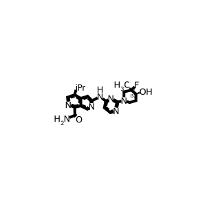 CC(C)c1cnc(C(N)=O)c2cnc(Nc3ccnc(N4CC[C@H](O)[C@](C)(F)C4)n3)cc12